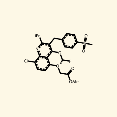 COC(=O)COc1ccc(Cl)c2nc(C(C)C)c(Cc3ccc(S(C)(=O)=O)cc3)c(OC(F)F)c12